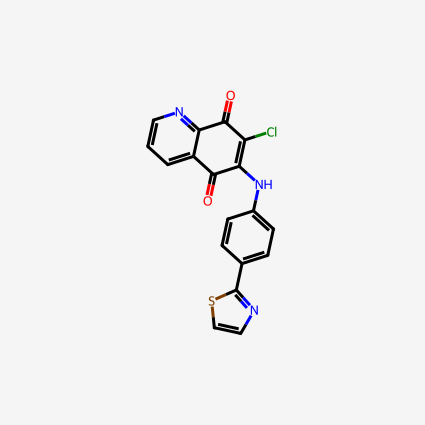 O=C1C(Nc2ccc(-c3nccs3)cc2)=C(Cl)C(=O)c2ncccc21